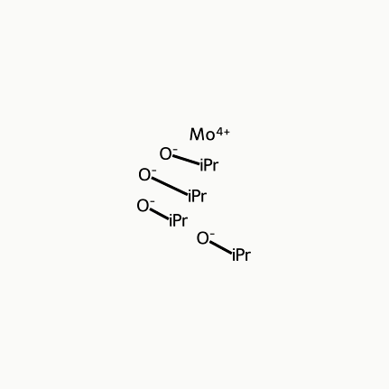 CC(C)[O-].CC(C)[O-].CC(C)[O-].CC(C)[O-].[Mo+4]